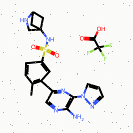 Cc1ccc(S(=O)(=O)NC23CNC(C2)C3)cc1-c1cnc(N)c(-n2cccn2)n1.O=C(O)C(F)(F)F